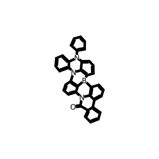 O=c1c2ccccc2c2cccc3c2n1-c1cccc2c1B3c1cccc3c1N2c1ccccc1N3c1ccccc1